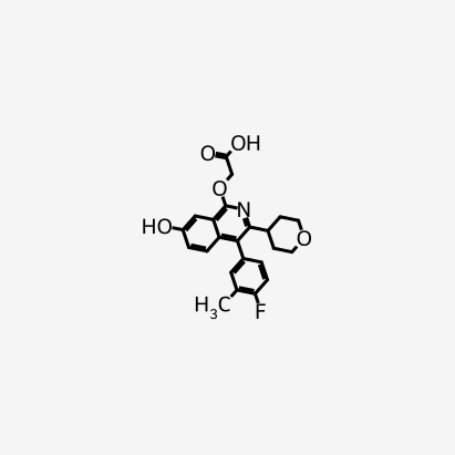 Cc1cc(-c2c(C3CCOCC3)nc(OCC(=O)O)c3cc(O)ccc23)ccc1F